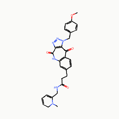 COc1ccc(Cn2nnc3c(=O)[nH]c4cc(CCC(=O)NCC5=CC=CCN5C)ccc4c(=O)c32)cc1